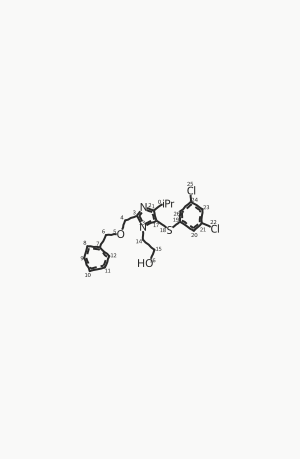 CC(C)c1nc(COCc2ccccc2)n(CCO)c1Sc1cc(Cl)cc(Cl)c1